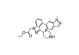 CCOC(=O)Cn1nc(C2CCNCC2)c2c(-c3cc4c(cnn4C)cc3F)cccc21